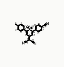 Cc1ccc(C2=CC(=C(C#N)C#N)C=C(c3ccc(C#N)cc3)S2(=O)=O)cc1